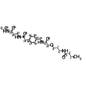 CCCC(=O)NCCCOCC(=O)NCc1ccc(CC(=O)NCCC(=O)NC)cc1